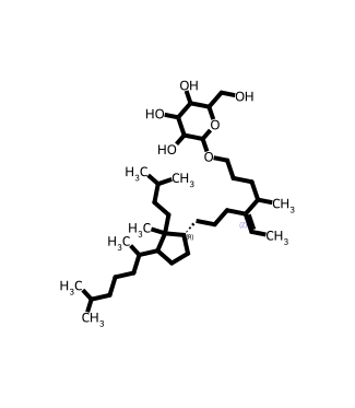 C/C=C(/CCC[C@@H]1CCC(C(C)CCCC(C)C)C1(C)CCC(C)C)C(C)CCCOC1OC(CO)C(O)C(O)C1O